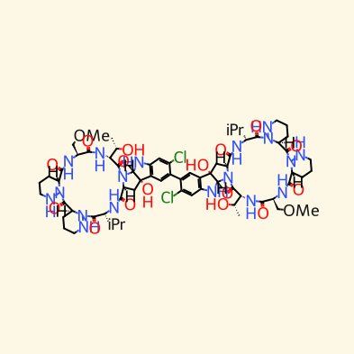 COC[C@@H]1NC(=O)[C@H]2CCCNN2C(=O)[C@@H]2CCCNN2C(=O)[C@@H](C(C)C)NC(=O)[C@@H]2C[C@@]3(O)c4cc(-c5cc6c(cc5Cl)N[C@H]5N7C(=O)[C@@H]([C@H](C)O)NC(=O)[C@H](COC)NC(=O)[C@H]8CCCNN8C(=O)[C@@H]8CCCNN8C(=O)[C@@H](C(C)C)NC(=O)[C@@H]7C[C@@]65O)c(Cl)cc4N[C@H]3N2C(=O)[C@@H]([C@H](C)O)NC1=O